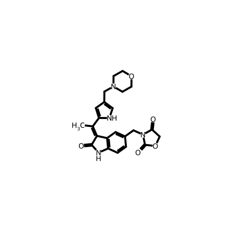 C/C(=C1\C(=O)Nc2ccc(CN3C(=O)COC3=O)cc21)c1cc(CN2CCOCC2)c[nH]1